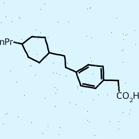 CCCC1CCC(CCc2ccc(CC(=O)O)cc2)CC1